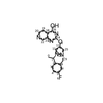 CC(c1ccc(F)cc1F)n1cc(Oc2nc(O)c3ccncc3n2)cn1